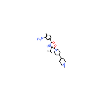 Cc1ccc(C(=O)N[C@@H](C(=O)N2CCC(C3CCN(C)CC3)CC2)C(C)C)cc1N